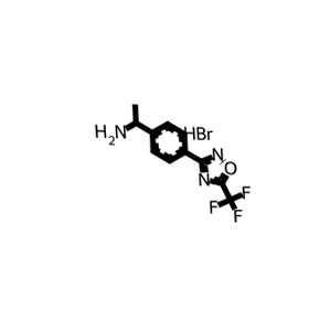 Br.CC(N)c1ccc(-c2noc(C(F)(F)F)n2)cc1